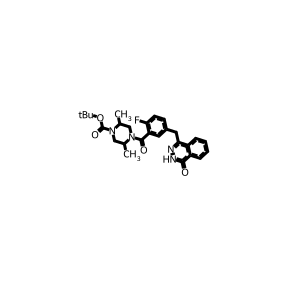 CC1CN(C(=O)c2cc(Cc3n[nH]c(=O)c4ccccc34)ccc2F)C(C)CN1C(=O)OC(C)(C)C